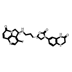 O=C1CSc2ccc(N3C[C@H](CCCN[C@@H]4Cn5c(=O)ccc6ncc(F)c4c65)OC3=O)cc2N1